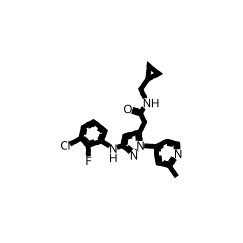 Cc1cc(-n2nc(Nc3cccc(Cl)c3F)cc2CC(=O)NCC2CC2)ccn1